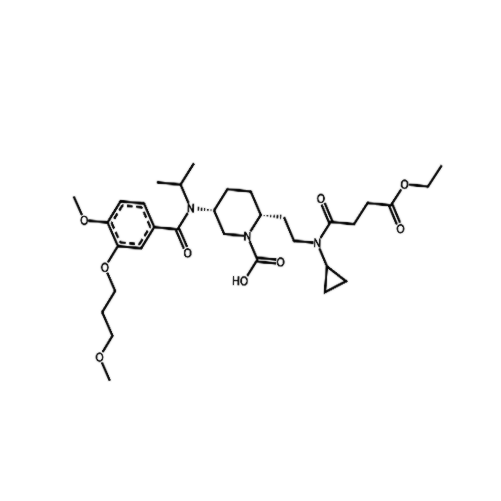 CCOC(=O)CCC(=O)N(CC[C@H]1CC[C@@H](N(C(=O)c2ccc(OC)c(OCCCOC)c2)C(C)C)CN1C(=O)O)C1CC1